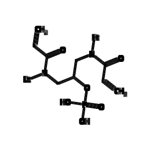 C=CC(=O)N(CC)CC(CN(CC)C(=O)C=C)OP(=O)(O)O